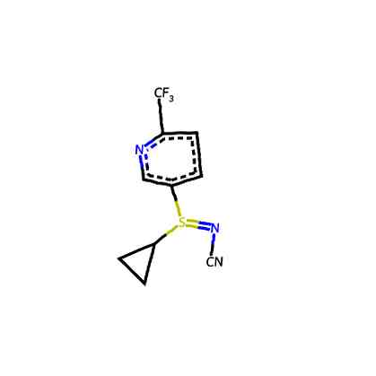 N#CN=S(c1ccc(C(F)(F)F)nc1)C1CC1